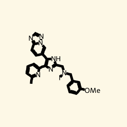 COc1cccc(CN(I)Cc2nc(-c3cccc(C)n3)c(-c3ccc4ncnn4c3)[nH]2)c1